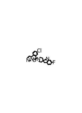 N#CC1(Cc2ccc(F)cc2)CCN(C(=O)c2cc(Cl)ccc2-c2ccncn2)CC1